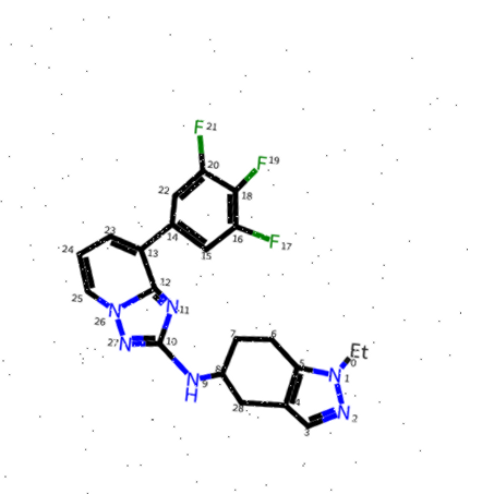 CCn1ncc2c1CCC(Nc1nc3c(-c4cc(F)c(F)c(F)c4)cccn3n1)C2